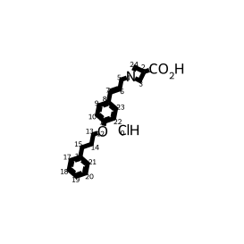 Cl.O=C(O)C1CN(CC=Cc2ccc(OCCCc3ccccc3)cc2)C1